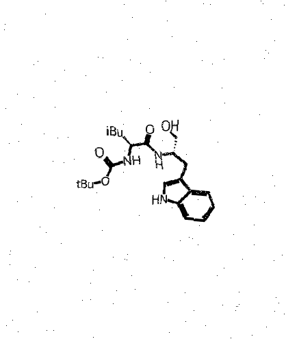 CCC(C)[C@H](NC(=O)OC(C)(C)C)C(=O)N[C@H](CO)Cc1c[nH]c2ccccc12